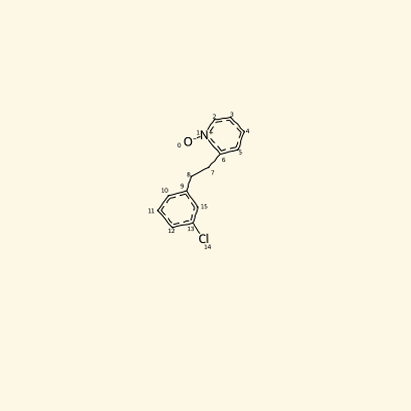 [O-][n+]1ccccc1CCc1cccc(Cl)c1